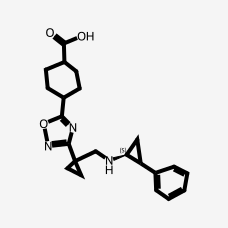 O=C(O)C1CCC(c2nc(C3(CN[C@H]4CC4c4ccccc4)CC3)no2)CC1